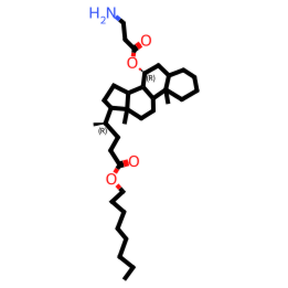 CCCCCCCCOC(=O)CC[C@@H](C)C1CCC2C3C(CCC21C)C1(C)CCCCC1C[C@H]3OC(=O)CCN